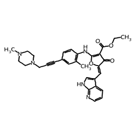 CCOC(=O)C1=C(Nc2ccc(C#CCN3CCN(C)CC3)cc2C)O/C(=C\c2c[nH]c3ncccc23)C1=O